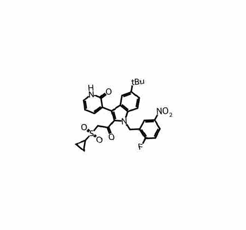 CC(C)(C)c1ccc2c(c1)c(-c1ccc[nH]c1=O)c(C(=O)CS(=O)(=O)C1CC1)n2Cc1cc([N+](=O)[O-])ccc1F